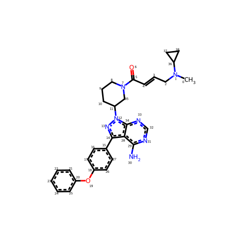 CN(CC=CC(=O)N1CCCC(n2nc(-c3ccc(Oc4ccccc4)cc3)c3c(N)ncnc32)C1)C1CC1